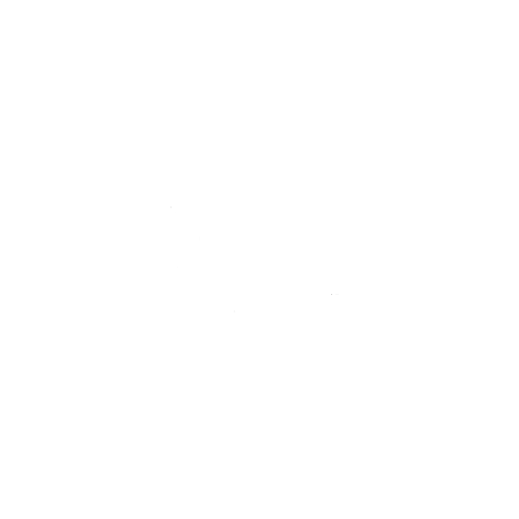 [CH2]C1COC(C(C)CCCCCCCCCC)O1